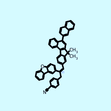 CC1(C)c2cc(/C=C(/Cc3ccc(C#N)cc3)c3ccc4oc5ccccc5c4c3)ccc2-c2c1cc(-c1ccc3ccccc3c1)c1ccccc21